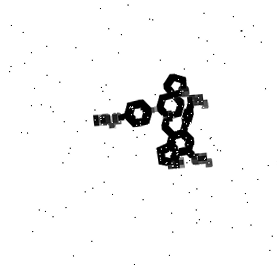 CC#Cc1cc(C)c2[nH]ccc2c1CN1CC[C@]2(CCCO2)C[C@H]1c1ccc(C(=O)O)cc1